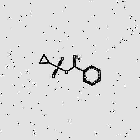 C=C(OS(=O)(=O)C1CC1)c1ccccc1